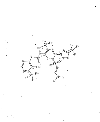 CN(C)/C=N/S(=O)(=O)c1cc(NC(=O)Cc2cccc(C(F)(F)F)c2Cl)c(C(F)(F)F)cc1-n1cc(C(F)(F)F)cn1